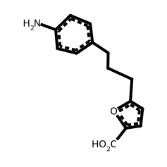 Nc1ccc(CCCc2ccc(C(=O)O)o2)cc1